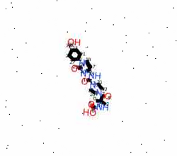 CC(C)(NC(=O)O)C(=O)N1CCN(C(=O)Nc2ccn([C@H]3CC[C@@H](CO)CC3)c(=O)n2)CC1